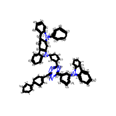 c1ccc(-c2ccc(-c3nc(-c4cccc(-n5c6ccccc6c6ccccc65)c4)nc(-c4cccc(-n5c6ccccc6c6cc7c8ccccc8n(-c8ccccc8)c7cc65)c4)n3)cc2)cc1